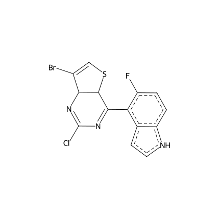 Fc1ccc2[nH]ccc2c1C1=NC(Cl)=NC2C(Br)=CSC12